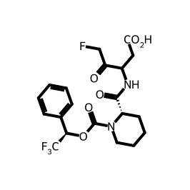 O=C(O)CC(NC(=O)[C@@H]1CCCCN1C(=O)O[C@H](c1ccccc1)C(F)(F)F)C(=O)CF